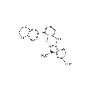 Cn1nc(Nc2cccc(-c3ccc4c(c3)OCCO4)c2Cl)c2ncc(C=O)cc21